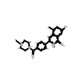 Cc1cc(F)cc2c(=O)[nH]c(-c3ccc(C(=O)N4CCN(C)CC4)cc3)cc12